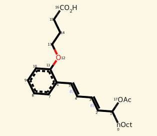 CCCCCCCCC(/C=C/C=C/c1ccccc1OCCCC(=O)O)OC(C)=O